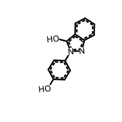 Oc1ccc(-n2nc3ccccc3c2O)cc1